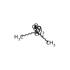 CCCCCCCCCC[N+](C)(C)CCCCCCCCCC.O=S(=O)([O-])c1ccccc1